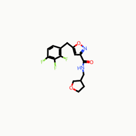 O=C(NCC1CCOC1)c1cc(Cc2ccc(F)c(F)c2F)on1